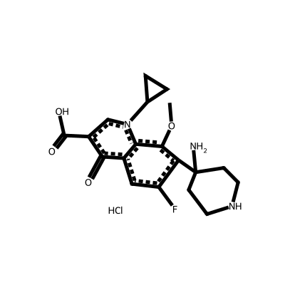 COc1c(C2(N)CCNCC2)c(F)cc2c(=O)c(C(=O)O)cn(C3CC3)c12.Cl